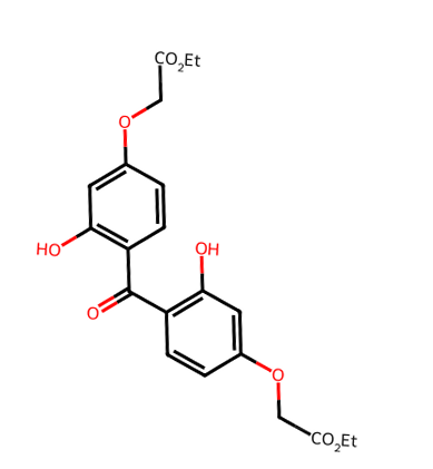 CCOC(=O)COc1ccc(C(=O)c2ccc(OCC(=O)OCC)cc2O)c(O)c1